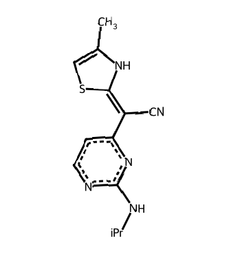 CC1=CSC(=C(C#N)c2ccnc(NC(C)C)n2)N1